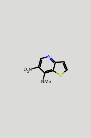 CNc1c([N+](=O)[O-])cnc2ccsc12